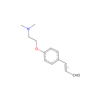 CN(C)CCOc1ccc(/C=C/C=O)cc1